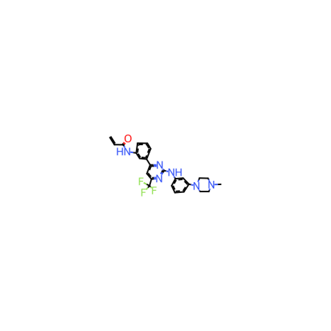 C=CC(=O)Nc1cccc(-c2cc(C(F)(F)F)nc(Nc3cccc(N4CCN(C)CC4)c3)n2)c1